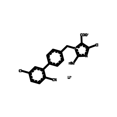 CCCCc1nc(Cl)c(C(=O)[O-])n1Cc1ccc(-c2cc(Cl)ccc2C#N)cc1.[Li+]